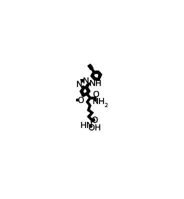 C#Cc1cccc(Nc2ncnc3cc(OC)c(C(CCCCCC(=O)NO)C(N)=O)cc23)c1